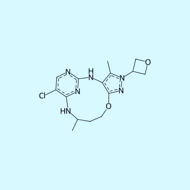 Cc1c2c(nn1C1COC1)OCCC(C)Nc1nc(ncc1Cl)N2